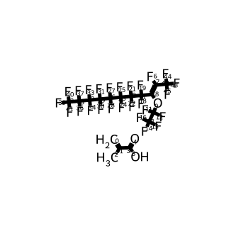 C=C(C)C(=O)O.FC(=C(OC(F)(F)C(F)(F)F)C(F)(F)C(F)(F)C(F)(F)C(F)(F)C(F)(F)C(F)(F)C(F)(F)C(F)(F)F)C(F)(F)F